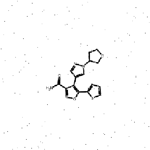 NC(=O)c1noc(-c2cccs2)c1-c1cnn(C2CCOC2)c1